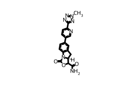 Cn1nnc(-c2ccc(-c3ccc4c(c3)C[C@H]3C(C(N)=O)OC(=O)N43)cn2)n1